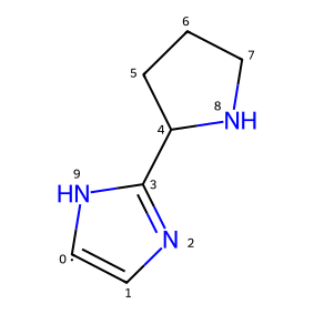 [c]1cnc(C2CCCN2)[nH]1